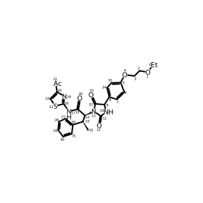 CCOCCOc1ccc(C2NC(=O)N([C@H](C(=O)Nc3nc(C(C)=O)cs3)[C@@H](C)c3ccccc3)C2=O)cc1